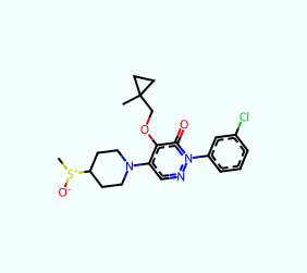 C[S+]([O-])C1CCN(c2cnn(-c3cccc(Cl)c3)c(=O)c2OCC2(C)CC2)CC1